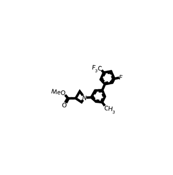 COC(=O)C1CN(c2cc(C)cc(-c3cc(F)cc(C(F)(F)F)c3)c2)C1